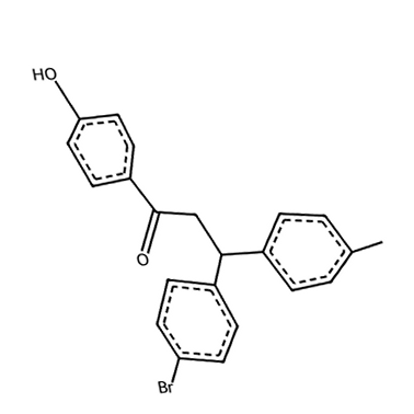 Cc1ccc(C(CC(=O)c2ccc(O)cc2)c2ccc(Br)cc2)cc1